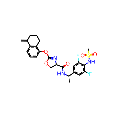 C=C1CCCc2c(OC3=NC(C(=O)N[C@H](C)c4cc(F)c(NS(C)(=O)=O)c(F)c4)CO3)cccc21